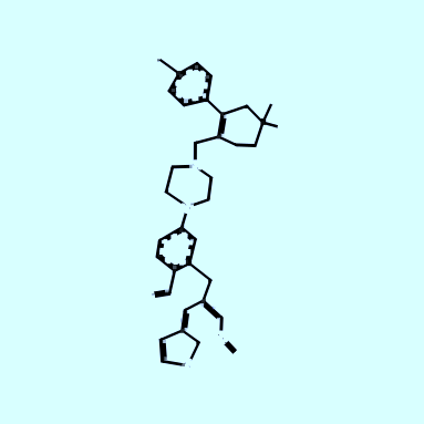 C=N/C=C(\C=C1\C=CNC1)Cc1cc(N2CCN(CC3=C(c4ccc(Cl)cc4)CC(C)(C)CC3)CC2)ccc1C=O